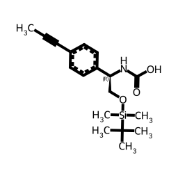 CC#Cc1ccc([C@H](CO[Si](C)(C)C(C)(C)C)NC(=O)O)cc1